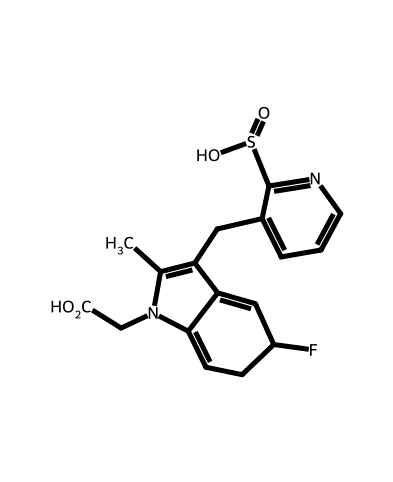 Cc1c(Cc2cccnc2S(=O)O)c2c(n1CC(=O)O)=CCC(F)C=2